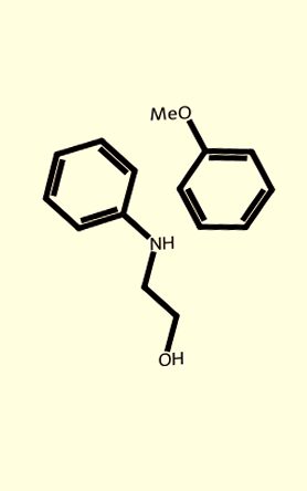 COc1ccccc1.OCCNc1ccccc1